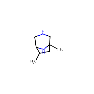 CCCCC12CNCC(N1)C(C)C2